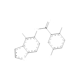 C=C(Nc1ccc2[nH]ccc2c1C)c1cc(C)ccc1Cl